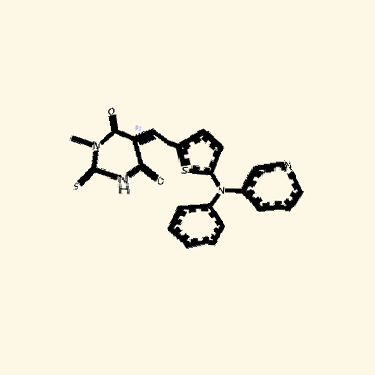 CN1C(=O)/C(=C/c2ccc(N(c3ccccc3)c3cccnc3)s2)C(=O)NC1=S